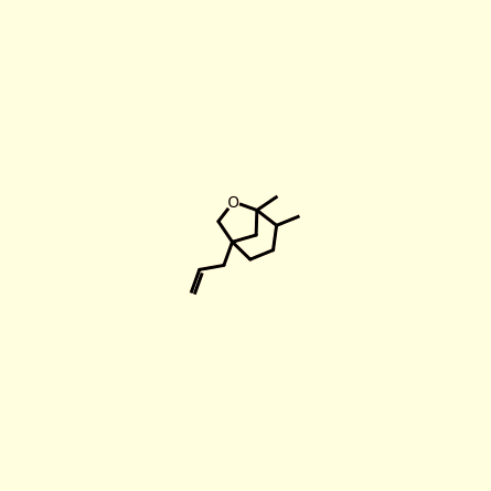 C=CCC12CCC(C)C(C)(C1)OC2